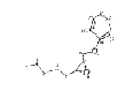 CCCCCC1OC1COc1ccccc1